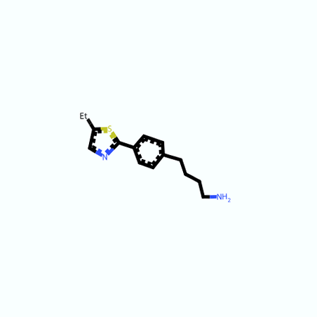 CCc1cnc(-c2ccc(CCCCN)cc2)s1